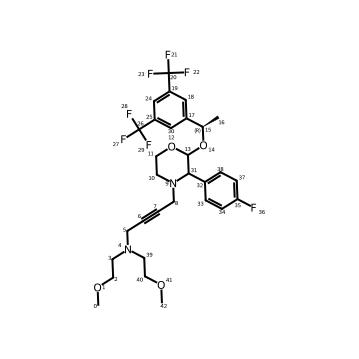 COCCN(CC#CCN1CCOC(O[C@H](C)c2cc(C(F)(F)F)cc(C(F)(F)F)c2)C1c1ccc(F)cc1)CCOC